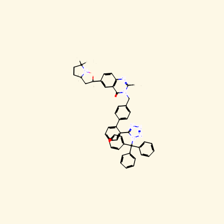 CCCCc1nc2ccc([C@@]3(C)C[C@H]4CCC(C)(C)N4O3)cc2c(=O)n1Cc1ccc(-c2ccccc2-c2nnnn2C(c2ccccc2)(c2ccccc2)c2ccccc2)cc1